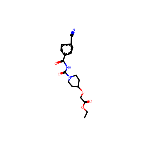 CCOC(=O)COC1CCN(C(=O)NC(=O)c2ccc(C#N)cc2)CC1